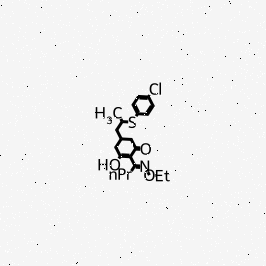 CCCC(=NOCC)C1=C(O)CC(CC(C)Sc2ccc(Cl)cc2)CC1=O